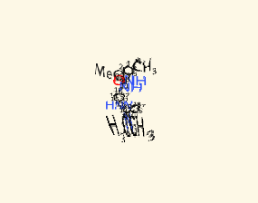 COc1ccc(C)cc1NC(=O)NCC1CCC(Nc2cc(N(C)C)c3ccccc3n2)CC1